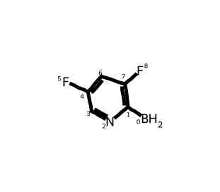 Bc1ncc(F)cc1F